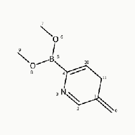 C=C1C=NC(B(OC)OC)=CC1